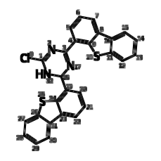 ClC1=NC(c2cccc3c2sc2ccccc23)=NC(c2cccc3c2sc2ccccc23)N1